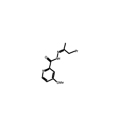 COc1ccnc(C(=O)NN=C(C)CC(C)C)c1